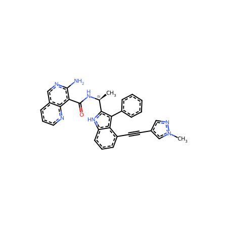 C[C@H](NC(=O)c1c(N)ncc2cccnc12)c1[nH]c2cccc(C#Cc3cnn(C)c3)c2c1-c1ccccc1